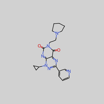 O=c1nc2n(C3CC3)nc(-c3cccnc3)nc-2c(=O)n1CCN1CCCCC1